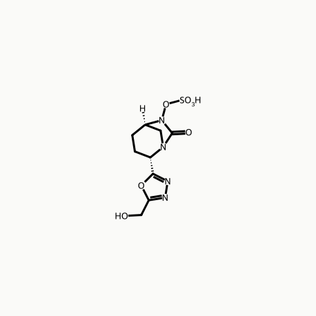 O=C1N2C[C@@H](CC[C@H]2c2nnc(CO)o2)N1OS(=O)(=O)O